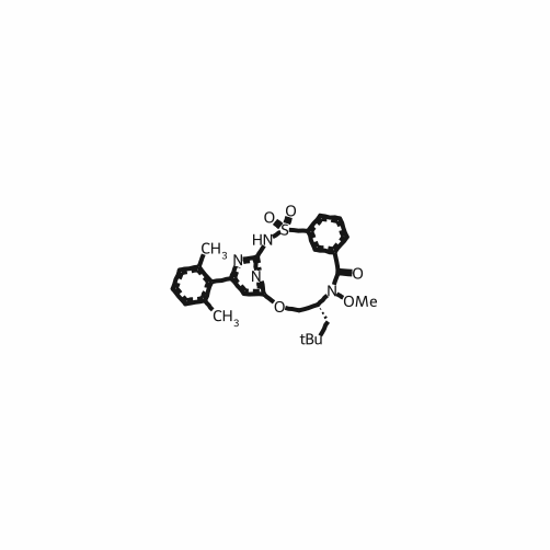 CON1C(=O)c2cccc(c2)S(=O)(=O)Nc2nc(cc(-c3c(C)cccc3C)n2)OC[C@H]1CC(C)(C)C